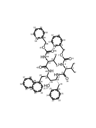 CC(C)[C@H](NC(=O)OCc1ccccn1)C(=O)N[C@H](Cc1ccccc1)[C@H](O)[C@@H](Cc1cccc2ccccc12)NC(=O)[C@@H](NC(=O)OCc1ccccn1)C(C)C